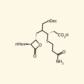 CCCCCCCCCCCC(C[C@@H]1OC(=O)[C@H]1CCCCCC)[C@H](CC(=O)O)SCCC(N)=O